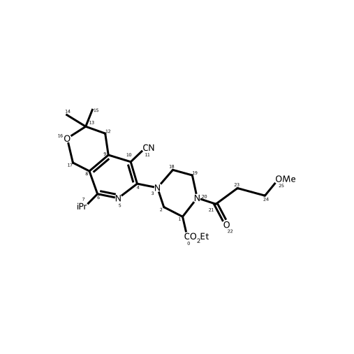 CCOC(=O)C1CN(c2nc(C(C)C)c3c(c2C#N)CC(C)(C)OC3)CCN1C(=O)CCOC